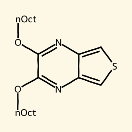 CCCCCCCCOc1nc2cscc2nc1OCCCCCCCC